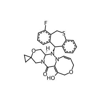 O=C1/C2=C(\O)COC/C=C\N2N([C@@H]2c3ccccc3SCc3c(F)cccc32)[C@@H]2COC3(CC3)CN12